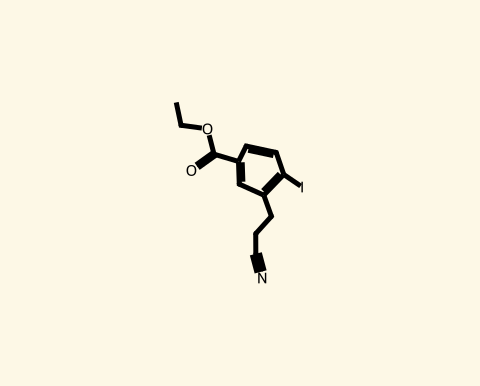 CCOC(=O)c1ccc(I)c(CCC#N)c1